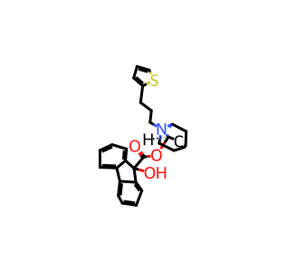 O=C(O[C@@H]1CC2CC[N+]1(CCCc1cccs1)CC2)C1(O)c2ccccc2-c2ccccc21